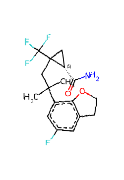 CC(C)(CC1(C(F)(F)F)C[C@@H]1C(N)=O)c1cc(F)cc2c1OCC2